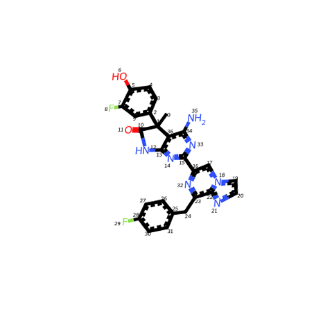 CC1(c2ccc(O)c(F)c2)C(=O)Nc2nc(-c3cn4ccnc4c(Cc4ccc(F)cc4)n3)nc(N)c21